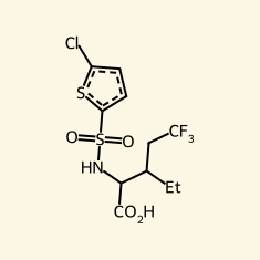 CCC(CC(F)(F)F)C(NS(=O)(=O)c1ccc(Cl)s1)C(=O)O